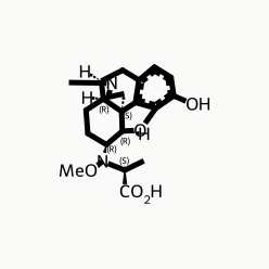 CON([C@@H]1CC[C@H]2[C@H]3Cc4ccc(O)c5c4[C@@]2(CCN3C)[C@H]1O5)[C@@H](C)C(=O)O